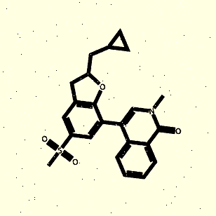 Cn1cc(-c2cc(S(C)(=O)=O)cc3c2OC(CC2CC2)C3)c2ccccc2c1=O